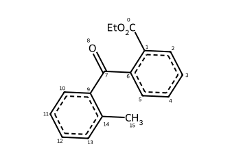 CCOC(=O)c1ccccc1C(=O)c1ccccc1C